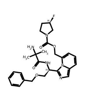 CC(C)(N)C(=O)N[C@H](COCc1ccccc1)c1ncc2cccc(COC(=O)N3CC[C@@H](F)C3)n12